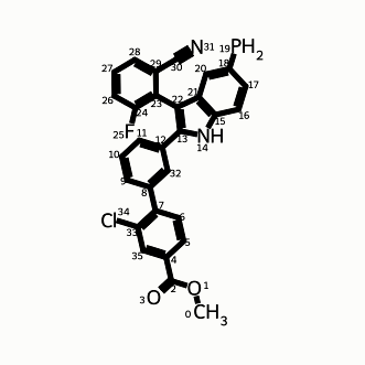 COC(=O)c1ccc(-c2cccc(-c3[nH]c4ccc(P)cc4c3-c3c(F)cccc3C#N)c2)c(Cl)c1